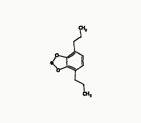 CCCc1ccc(CCC)c2c1O[B]O2